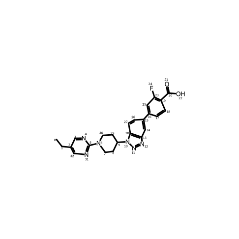 CCc1cnc(N2CCC(n3nnc4cc(-c5ccc(C(=O)O)c(F)c5)ccc43)CC2)nc1